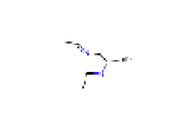 CC=NCC(CCC)N=CC